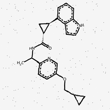 CC(NC(=O)[C@@H]1C[C@H]1c1cccc2[nH]ccc12)c1ccc(OCC2CC2)cn1